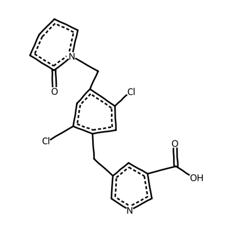 O=C(O)c1cncc(Cc2cc(Cl)c(Cn3ccccc3=O)cc2Cl)c1